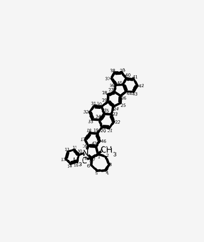 CC12CCCCCC1(C)N(c1ccccc1)c1ccc(-c3ccc4c5cc6c(cc5c5cccc3c54)c3cccc4cccc6c43)cc12